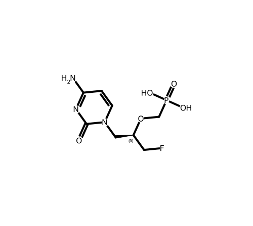 Nc1ccn(C[C@H](CF)OCP(=O)(O)O)c(=O)n1